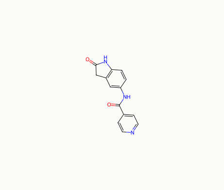 O=C1Cc2cc(NC(=O)c3ccncc3)ccc2N1